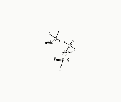 CCCCCC[N+](C)(C)C.CCCCCC[N+](C)(C)C.O=S(=O)([O-])[O-]